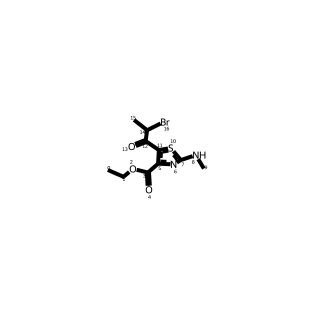 CCOC(=O)c1nc(NC)sc1C(=O)C(C)Br